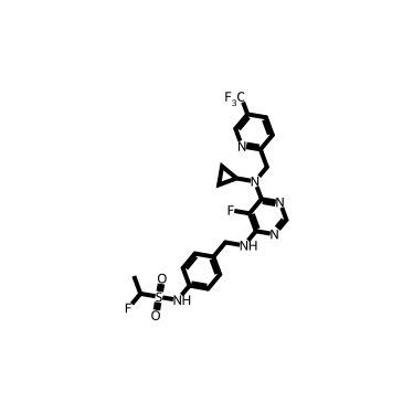 CC(F)S(=O)(=O)Nc1ccc(CNc2ncnc(N(Cc3ccc(C(F)(F)F)cn3)C3CC3)c2F)cc1